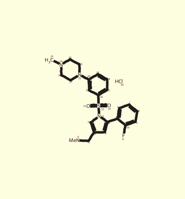 CNCc1cc(-c2ccccc2F)n(S(=O)(=O)c2cccc(N3CCN(C)CC3)c2)c1.Cl